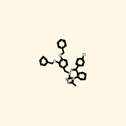 Cc1nnc2n1-c1ccccc1C(c1ccc(Cl)cc1)=NN2Cc1ccc(OCc2ccccc2)c(OCc2ccccc2)c1